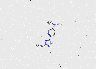 C=Cc1n[nH]c(-c2ccc(N(C)C)cn2)n1